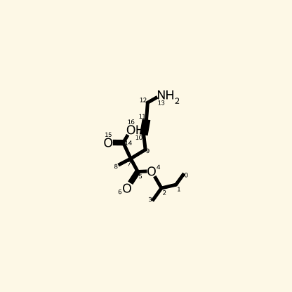 CCC(C)OC(=O)C(C)(CC#CCN)C(=O)O